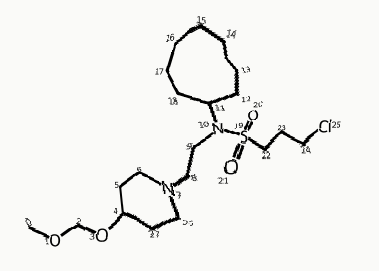 COCOC1CCN(CCN(C2CCCCCCC2)S(=O)(=O)CCCCl)CC1